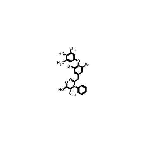 Cc1cc(Oc2c(Br)cc(CC(=O)N(c3ccccc3)[C@@H](C)C(=O)O)cc2Br)cc(C)c1O